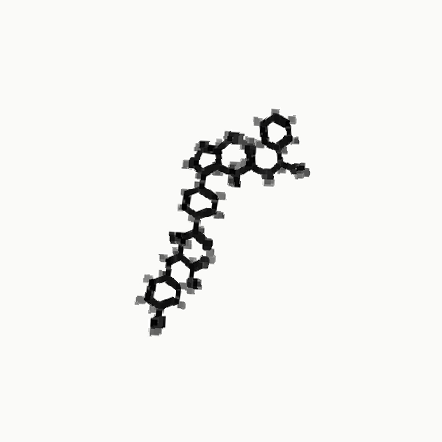 Cc1noc(-c2ccc(C(=O)NC(Cc3ccc(Cl)cc3)C(=O)O)cc2)c1NC(=O)OC(C)c1ccccc1